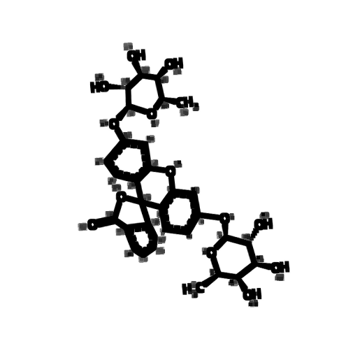 C[C@H]1O[C@@H](Oc2ccc3c(c2)Oc2cc(O[C@@H]4O[C@H](C)[C@H](O)[C@H](O)[C@H]4O)ccc2C32OC(=O)c3ccccc32)[C@H](O)[C@@H](O)[C@H]1O